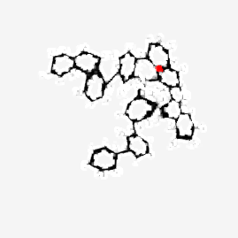 c1ccc(-c2cccc(-c3ccc(N(c4cc(-c5cccc6c5ccc5ccccc56)ccc4-c4ccccc4)c4cccc5oc6c7ccccc7ccc6c45)cc3)c2)cc1